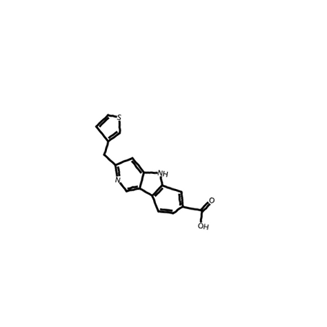 O=C(O)c1ccc2c(c1)[nH]c1cc(Cc3ccsc3)ncc12